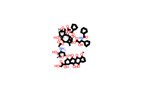 CC(=O)O[C@H]1C(=O)[C@@]2(C)[C@H]([C@H](OC(=O)c3ccccc3)[C@]3(O)C[C@H](OC(=O)[C@H](O)[C@@H](NC(=O)c4ccccc4)c4ccccc4)C(C)=C1C3(C)C)[C@]1(OC(C)=O)CO[C@@H]1C[C@@H]2O.COc1cccc2c1C(=O)c1c(O)c3c(c(O)c1C2=O)C[C@@](O)(C(=O)CO)C[C@@H]3O[C@H]1C[C@H](N)[C@H](O)[C@H](C)O1